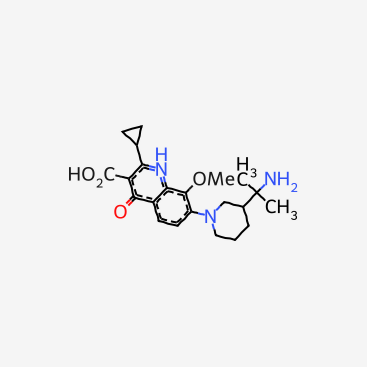 COc1c(N2CCCC(C(C)(C)N)C2)ccc2c(=O)c(C(=O)O)c(C3CC3)[nH]c12